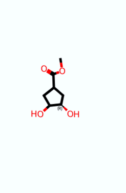 COC(=O)C1CC(O)[C@H](O)C1